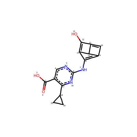 O=C(O)c1cnc(NC2=C3C=C4C(O)=C2C43)nc1C1CC1